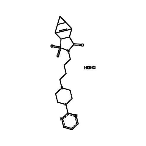 Cl.Cl.O=C1C2C3C=CC(C4CC34)C2S(=O)(=O)N1CCCCN1CCN(c2ncccn2)CC1